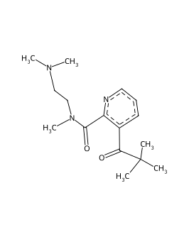 CN(C)CCN(C)C(=O)c1ncccc1C(=O)C(C)(C)C